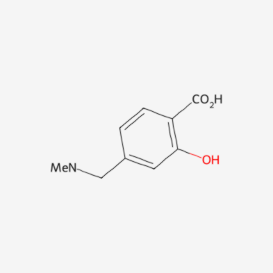 CNCc1ccc(C(=O)O)c(O)c1